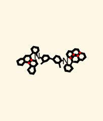 Cc1cc(-c2ccc(N(c3ccc4ccccc4c3)c3ccccc3-c3ccc4ccccc4c3)c(C)c2)ccc1N(c1ccc2ccccc2c1)c1ccccc1-c1ccc2ccccc2c1